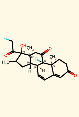 CC1C[C@H]2[C@@H]3C=CC4=CC(=O)CC[C@]4(C)[C@@]3(F)C(=O)C[C@]2(C)[C@@]1(O)C(=O)CF